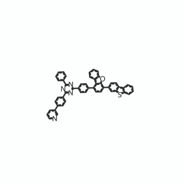 c1ccc(-c2nc(-c3ccc(-c4cccnc4)cc3)nc(-c3ccc(-c4ccc(-c5ccc6c(c5)sc5ccccc56)c5oc6ccccc6c45)cc3)n2)cc1